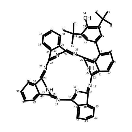 CC(C)(C)c1cc(-c2cccc3c4nc5nc(nc6[nH]c(nc7nc(nc([nH]4)c23)-c2ccccc2-7)c2ccccc62)-c2ccccc2-5)cc(C(C)(C)C)c1O